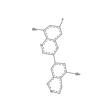 CC(C)(C)c1cc(-c2cnc3c(C(C)(C)C)cc(F)cc3c2)cc2cnccc12